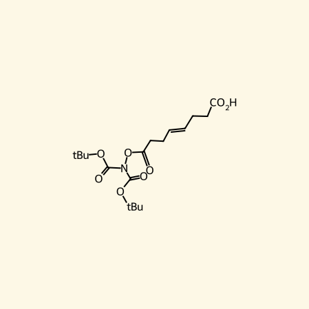 CC(C)(C)OC(=O)N(OC(=O)CCC=CCCC(=O)O)C(=O)OC(C)(C)C